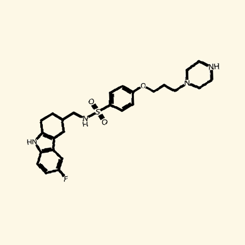 O=S(=O)(NCC1CCc2[nH]c3ccc(F)cc3c2C1)c1ccc(OCCCN2CCNCC2)cc1